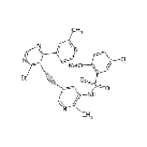 CCc1ncnc(-c2ccnc(C)c2)c1C#Cc1cnc(C)c(NS(=O)(=O)c2cc(Cl)ccc2OC)c1